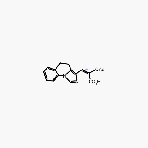 CC(=O)O/C(=C/c1ncn2c1CCc1ccccc1-2)C(=O)O